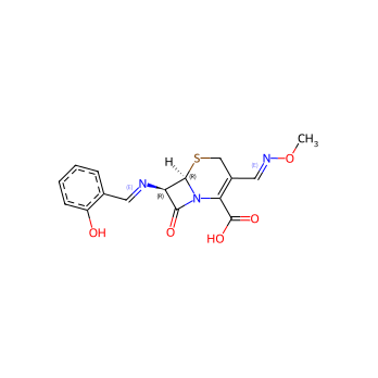 CO/N=C/C1=C(C(=O)O)N2C(=O)[C@@H](/N=C/c3ccccc3O)[C@H]2SC1